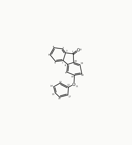 O=C1c2ccccc2-c2cc(Oc3ccccc3)ccc21